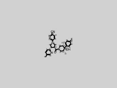 Cc1ccc([C@@H]2CN(c3ccc(C#N)nn3)C[C@H]2C(=O)N2C[C@@H](C)[C@](O)(c3ccc(F)cc3)[C@@H](C)C2)nc1